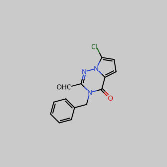 O=Cc1nn2c(Cl)ccc2c(=O)n1Cc1ccccc1